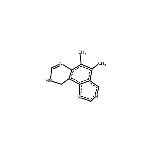 Cc1c2c(c3ncncc3c1C)CNC=N2